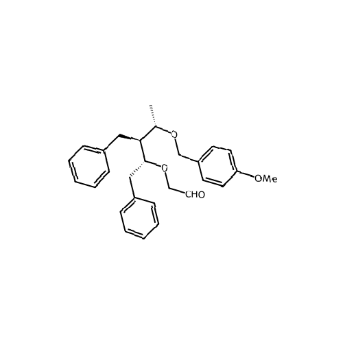 COc1ccc(CO[C@@H](C)[C@H](Cc2ccccc2)[C@@H](Cc2ccccc2)OCC=O)cc1